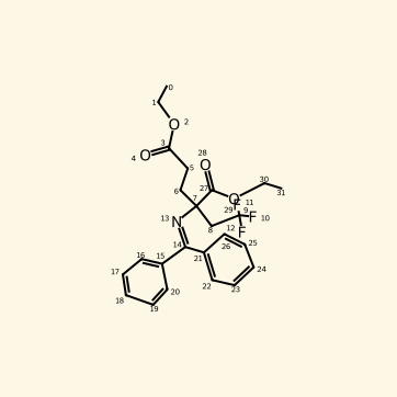 CCOC(=O)CCC(CC(F)(F)F)(N=C(c1ccccc1)c1ccccc1)C(=O)OCC